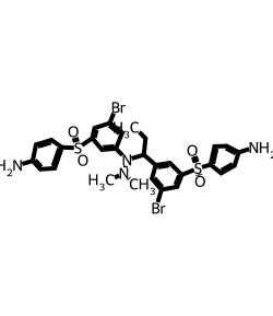 CCC(c1cc(Br)cc(S(=O)(=O)c2ccc(N)cc2)c1)N(c1cc(Br)cc(S(=O)(=O)c2ccc(N)cc2)c1)N(C)C